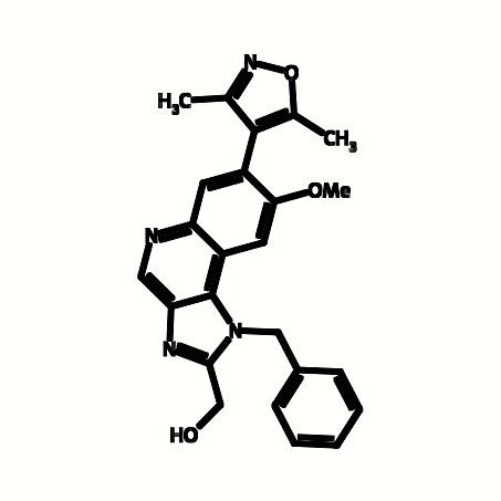 COc1cc2c(cc1-c1c(C)noc1C)ncc1nc(CO)n(Cc3ccccc3)c12